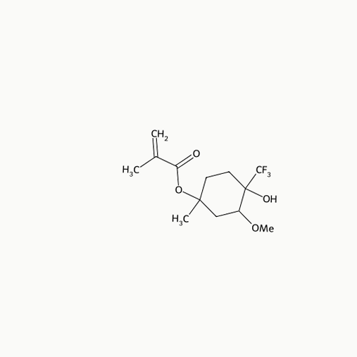 C=C(C)C(=O)OC1(C)CCC(O)(C(F)(F)F)C(OC)C1